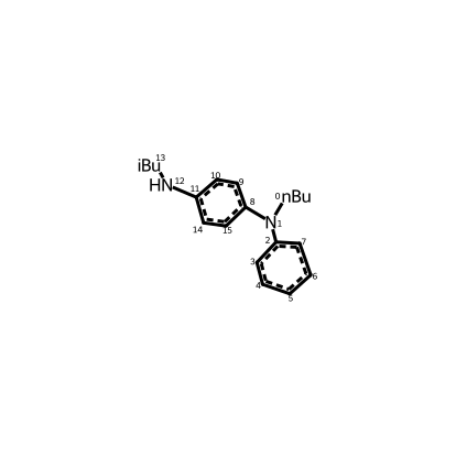 CCCCN(c1ccccc1)c1ccc(NC(C)CC)cc1